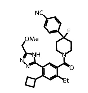 CCc1cc(C2CCC2)c(-c2nnc(COC)[nH]2)cc1C(=O)N1CCC(F)(c2ccc(C#N)cc2)CC1